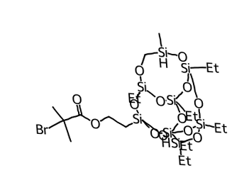 CC[SiH]1O[Si]2(CCOC(=O)C(C)(C)Br)O[Si]3(CC)OC[SiH](C)O[Si]4(CC)O[Si](CC)(O1)O[Si](CC)(O2)O[Si](CC)(O3)O4